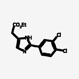 CCOC(=O)Cc1cnc(-c2ccc(Cl)c(Cl)c2)[nH]1